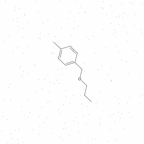 [CH2]c1ccc(COCCC)cc1